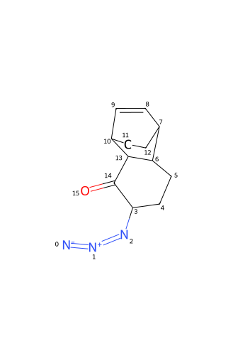 [N-]=[N+]=NC1CCC2C3C=CC(CC3)C2C1=O